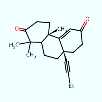 CCC#C[C@]12CCC(=O)C=C1[C@@]1(C)CCC(=O)C(C)(C)C1CC2